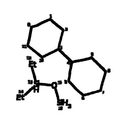 C1CCC(C2CCCCC2)CC1.CC[SiH](CC)O[SiH3]